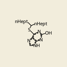 CCCCCCCC(CCCCCCC)Sc1nc(O)nc2[nH]cnc12